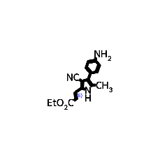 CCOC(=O)/C=C/c1[nH]c(C)c(-c2ccc(N)cc2)c1C#N